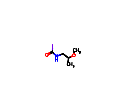 COC(C)CNC(=O)I